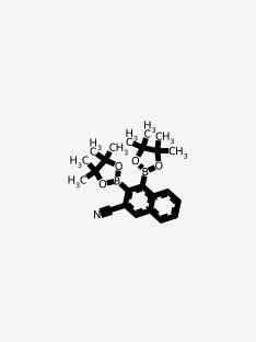 CC1(C)OB(c2c(C#N)cc3ccccc3c2B2OC(C)(C)C(C)(C)O2)OC1(C)C